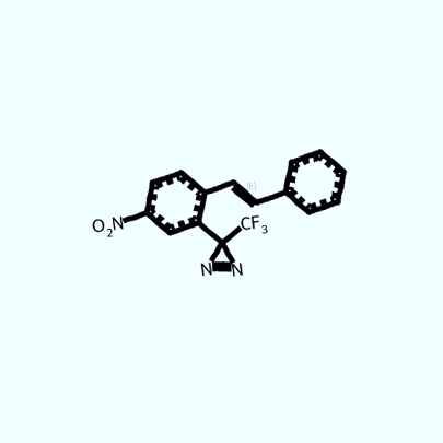 O=[N+]([O-])c1ccc(/C=C/c2ccccc2)c(C2(C(F)(F)F)N=N2)c1